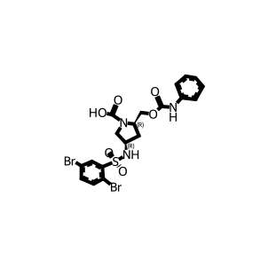 O=C(Nc1ccccc1)OC[C@H]1C[C@@H](NS(=O)(=O)c2cc(Br)ccc2Br)CN1C(=O)O